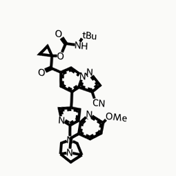 COc1ccc(CN2C3CC2CN(c2ccc(-c4cc(C(=O)C5(OC(=O)NC(C)(C)C)CC5)cn5ncc(C#N)c45)cn2)C3)cn1